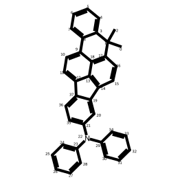 CC1(C)c2ccccc2-c2ccc3c4c(ccc1c24)-c1cc(N(c2ccccc2)c2ccccc2)ccc1-3